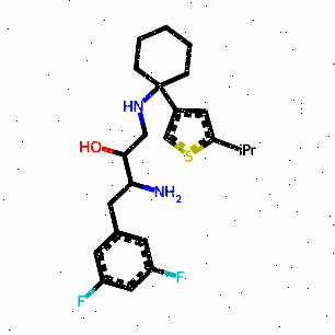 CC(C)c1cc(C2(NCC(O)C(N)Cc3cc(F)cc(F)c3)CCCCC2)cs1